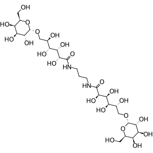 O=C(NCCCNC(=O)[C@H](O)[C@@H](O)[C@H](O)[C@H](O)CO[C@H]1O[C@H](CO)[C@H](O)[C@H](O)[C@H]1O)[C@H](O)[C@@H](O)[C@H](O)[C@H](O)CO[C@H]1O[C@H](CO)[C@H](O)[C@H](O)[C@H]1O